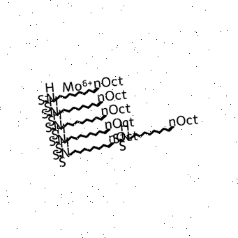 CCCCCCCC/C=C\CCCCCCCCNC(=S)[S-].CCCCCCCC/C=C\CCCCCCCCNC(=S)[S-].CCCCCCCC/C=C\CCCCCCCCNC(=S)[S-].CCCCCCCC/C=C\CCCCCCCCNC(=S)[S-].CCCCCCCC/C=C\CCCCCCCCNC(=S)[S-].CCCCCCCC/C=C\CCCCCCCCNC(=S)[S-].[Mo+6]